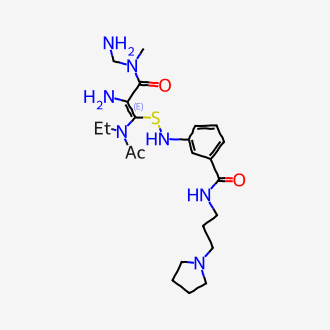 CCN(C(C)=O)/C(SNc1cccc(C(=O)NCCCN2CCCC2)c1)=C(\N)C(=O)N(C)CN